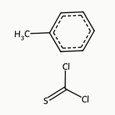 Cc1ccccc1.S=C(Cl)Cl